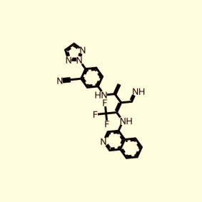 C=C(Nc1ccc(-n2nccn2)c(C#N)c1)/C(C=N)=C(/Nc1cncc2ccccc12)C(F)(F)F